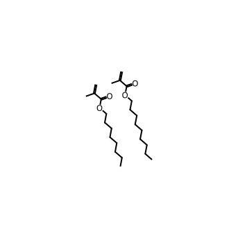 C=C(C)C(=O)OCCCCCCCC.C=C(C)C(=O)OCCCCCCCCC